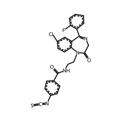 O=C(NCCN1C(=O)CN=C(c2ccccc2F)c2cc(Cl)ccc21)c1ccc(N=C=S)cc1